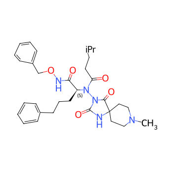 CC(C)CCC(=O)N([C@@H](CCCc1ccccc1)C(=O)NOCc1ccccc1)N1C(=O)NC2(CCN(C)CC2)C1=O